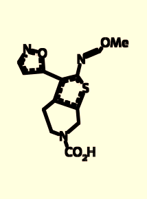 CO/C=N/c1sc2c(c1-c1ccno1)CCN(C(=O)O)C2